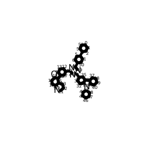 c1ccc(-c2ccc(-c3nc(-c4ccc5oc6ccc7ncccc7c6c5c4)nc(-c4ccc5c(c4)c4ccccc4n5-c4ccccc4)n3)cc2)cc1